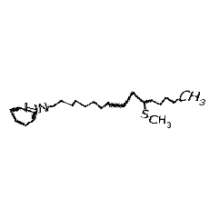 CCCCCC(CCCCCCCCCCNc1ccccc1)SC